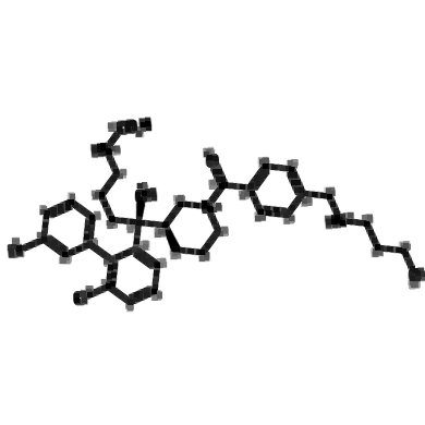 CCc1cccc(-c2c(Cl)cccc2[C@](O)(CCCNC(=O)O)[C@@H]2CCCN(C(=O)c3ccc(CNCCCO)cc3)C2)c1